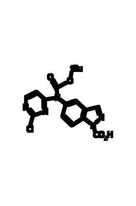 CC(C)(C)OC(=O)N(c1ccc2c(cnn2C(=O)O)c1)c1ccnc(Cl)n1